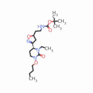 CCCCON1CC[C@@H](C2=NOC(CCNC(=O)OC(C)(C)C)C2)N(CC)C1=O